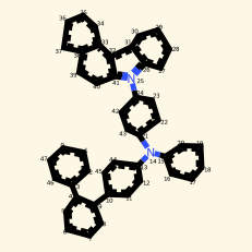 c1ccc(-c2ccccc2-c2ccc(N(c3ccccc3)c3ccc(-n4c5ccccc5c5c6ccccc6ccc54)cc3)cc2)cc1